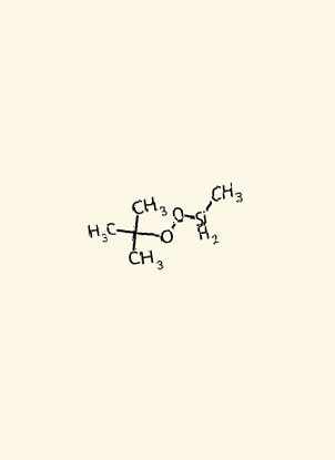 C[SiH2]OOC(C)(C)C